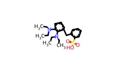 CCN(CC)c1cccc(Cc2ccccc2S(=O)(=O)O)c1N(CC)CC